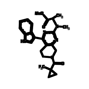 COC(=O)C(C)N(C)c1nc2c(c(-c3c[nH]c4ccccc34)n1)CCN(C(=O)C1(C(F)(F)F)CC1)C2